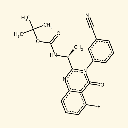 C[C@H](NC(=O)OC(C)(C)C)c1nc2cccc(F)c2c(=O)n1-c1cccc(C#N)c1